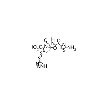 Nc1nc(C(=O)C(=O)N[C@@H]2C(=O)N3C(C(=O)O)=C(SCSc4c[nH]nn4)CC[C@@H]23)cs1